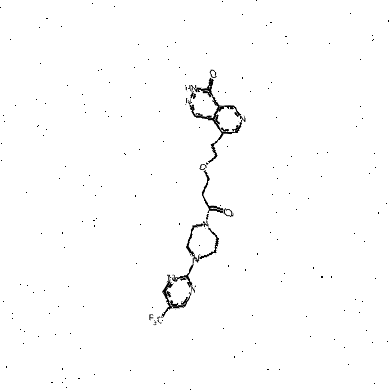 O=C(CCOCCc1cncc2c(=O)[nH]ncc12)N1CCN(c2ncc(C(F)(F)F)cn2)CC1